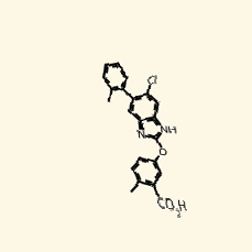 Cc1ccc(Oc2nc3cc(-c4ccccc4C)c(Cl)cc3[nH]2)cc1C(=O)O